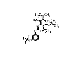 C=CN(CCN(C)C)C(/N=C(\C)Oc1cccc(OC(F)(F)F)c1)=C(/C)C(=C)N(C)C